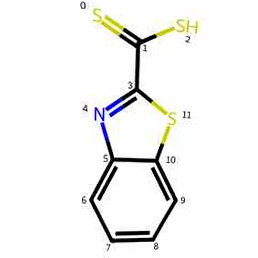 S=C(S)c1nc2ccccc2s1